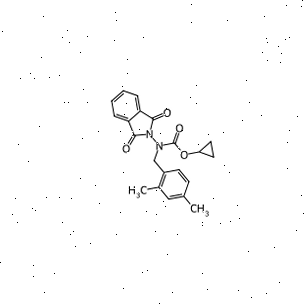 Cc1ccc(CN(C(=O)OC2CC2)N2C(=O)c3ccccc3C2=O)c(C)c1